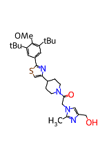 COc1c(C(C)(C)C)cc(-c2nc(C3CCN(C(=O)Cn4cc(CO)nc4C)CC3)cs2)cc1C(C)(C)C